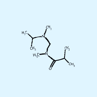 CC(C)C(=O)N(C)CN(C)C(C)C